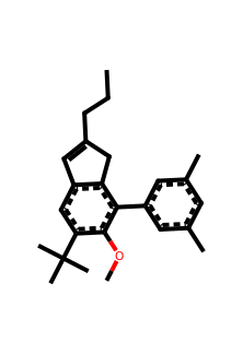 CCCC1=Cc2cc(C(C)(C)C)c(OC)c(-c3cc(C)cc(C)c3)c2C1